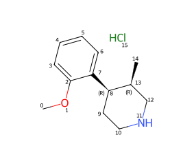 COc1ccccc1[C@@H]1CCNC[C@@H]1C.Cl